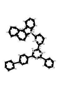 c1ccc(-c2ccc(-c3nc(-c4ccccc4)nc(-c4cccc(-n5c6ccccc6c6c7ccccc7ccc65)n4)n3)cc2)cc1